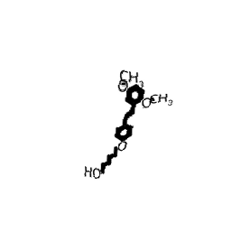 COc1ccc(OC)c(C=Cc2ccc(OCCCCCCO)cc2)c1